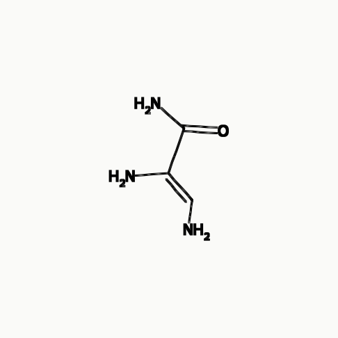 NC=C(N)C(N)=O